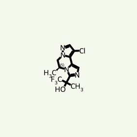 C[C@H]1Cn2ncc(Cl)c2-c2cnc(C(C)(O)C(F)(F)F)n21